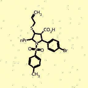 C=CCSC1C(CCC)N(S(=O)(=O)c2ccc(C)cc2)C(c2ccc(Br)cc2)[C@@H]1C(=O)O